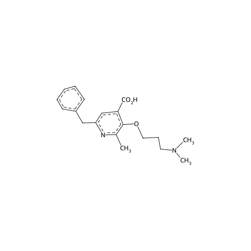 Cc1nc(Cc2ccccc2)cc(C(=O)O)c1OCCCN(C)C